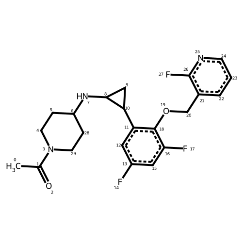 CC(=O)N1CCC(NC2CC2c2cc(F)cc(F)c2OCc2cccnc2F)CC1